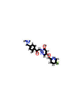 Cc1cc(CN(C)C)ccc1C(=O)Cn1ncc(OCc2ccc(F)cn2)cc1=O